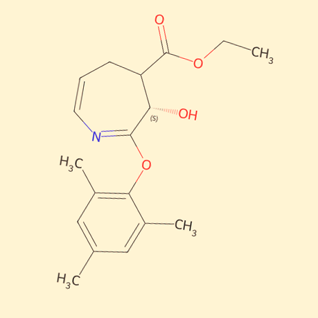 CCOC(=O)C1CC=CN=C(Oc2c(C)cc(C)cc2C)[C@H]1O